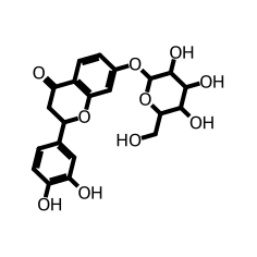 O=C1CC(c2ccc(O)c(O)c2)Oc2cc(OC3OC(CO)C(O)C(O)C3O)ccc21